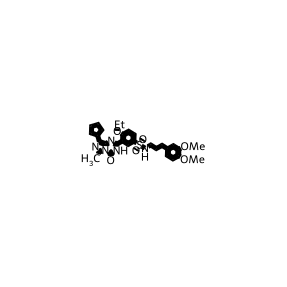 CCOc1ccc(S(=O)(=O)NCCCc2ccc(OC)c(OC)c2)cc1-c1nc2c(C3CCCC3)nc(C)n2c(=O)[nH]1